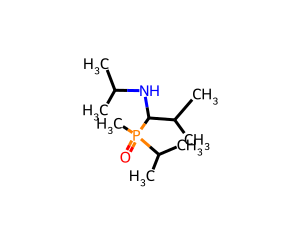 CC(C)NC(C(C)C)P(C)(=O)C(C)C